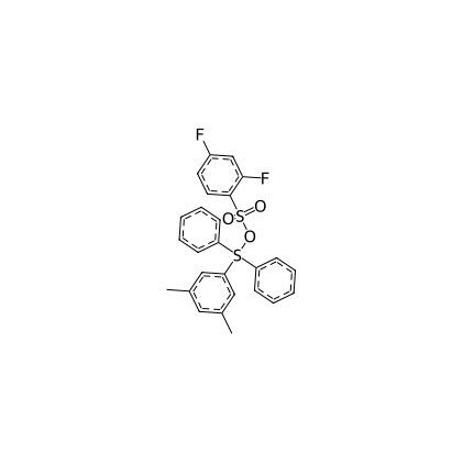 Cc1cc(C)cc(S(OS(=O)(=O)c2ccc(F)cc2F)(c2ccccc2)c2ccccc2)c1